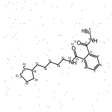 CCCCNC(=O)c1ccccc1C(=O)NCCCCCC1CCSS1